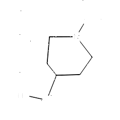 O=CN1CCC(OS)CC1